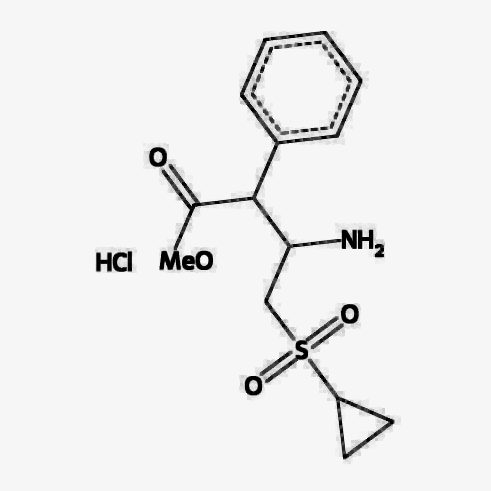 COC(=O)C(c1ccccc1)C(N)CS(=O)(=O)C1CC1.Cl